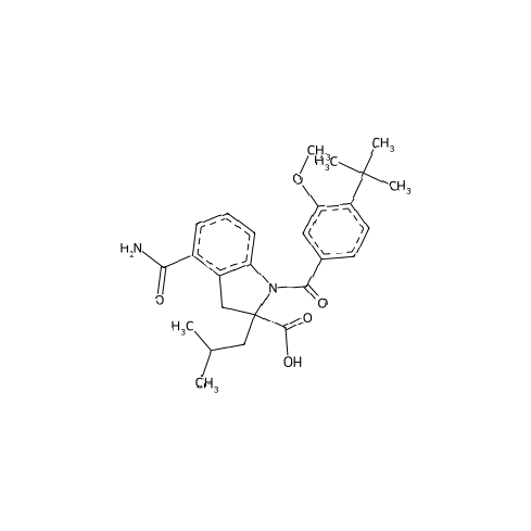 COc1cc(C(=O)N2c3cccc(C(N)=O)c3CC2(CC(C)C)C(=O)O)ccc1C(C)(C)C